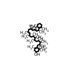 CC1=C(CC(C)C(C)C(C)CC(C)C(C)C(C)CC(C)/C=C(\C)CC(C)CCCC(C)C2=C(C)CCCC2(C)C)C(C)(C)CC(O)C1